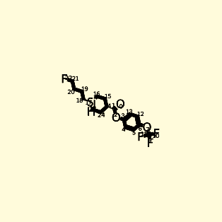 O=C(Oc1ccc(OC(F)(F)F)cc1)[C@H]1CC[Si@H](CCCCF)CC1